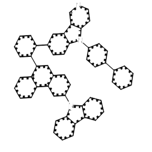 c1ccc(-c2ccc(-n3c4ccncc4c4cc(-c5ccccc5-c5cc6ccc(-n7c8ccccc8c8ccccc87)cc6c6ccccc56)ccc43)cc2)cc1